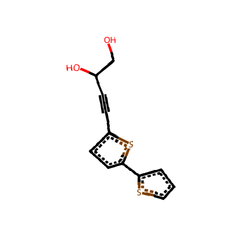 OCC(O)C#Cc1ccc(-c2cccs2)s1